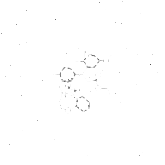 CCOC(=O)CC(c1ccc(C)c(CN2C[C@@H](C)Oc3ccccc3S2(=O)=O)c1)c1cc(OC)cnc1C